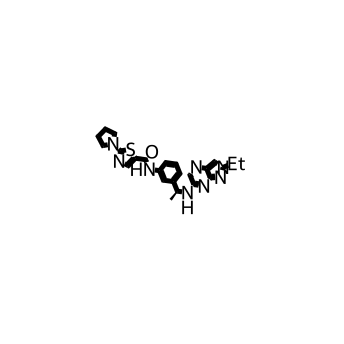 CCn1cc2ncc(N[C@@H](C)c3cccc(NC(=O)c4cnc(N5CCCC5)s4)c3)nc2n1